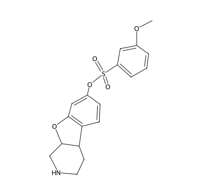 COc1cccc(S(=O)(=O)Oc2ccc3c(c2)OC2CNCCC32)c1